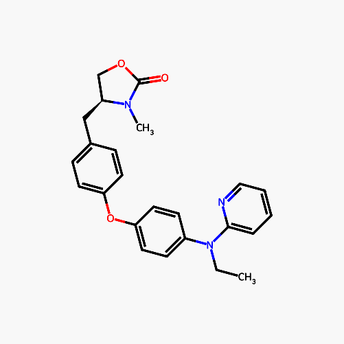 CCN(c1ccc(Oc2ccc(C[C@H]3COC(=O)N3C)cc2)cc1)c1ccccn1